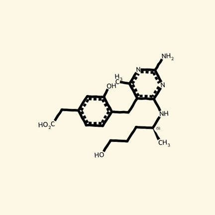 Cc1nc(N)nc(N[C@@H](C)CCCO)c1Cc1ccc(CC(=O)O)cc1O